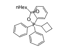 CCCCCCC(=O)OP(c1ccccc1)(c1ccccc1)(c1ccccc1)C1CCC1